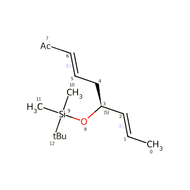 C/C=C/[C@H](C/C=C/C(C)=O)O[Si](C)(C)C(C)(C)C